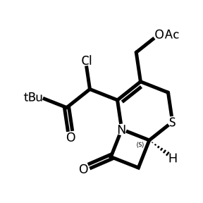 CC(=O)OCC1=C(C(Cl)C(=O)C(C)(C)C)N2C(=O)C[C@@H]2SC1